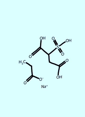 CCC(=O)[O-].O=C(O)CC(C(=O)O)S(=O)(=O)O.[Na+]